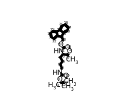 CC(=O)C(CCCCNC(=O)OC(C)(C)C)NC(=O)OCC1c2ccccc2-c2ccccc21